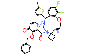 Cc1ccc(C2c3ccc(F)c(F)c3OC/C=C/C3(CCC3)N3CN2n2ccc(=O)c(OCc4ccccc4)c2C3=O)s1